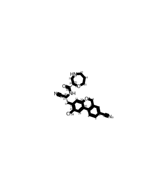 N#Cc1ccc2c(c1)COc1cc(C[C@H](C#N)NC(=O)[C@@H]3CNCCCO3)c(Cl)cc1-2